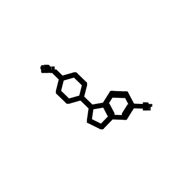 CC(C)(C)C1CCC(C2CCc3cc(Br)ccc32)CC1